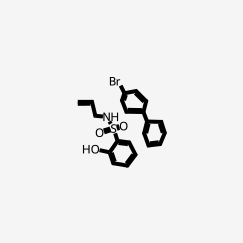 Brc1ccc(-c2ccccc2)cc1.C=CCNS(=O)(=O)c1ccccc1O